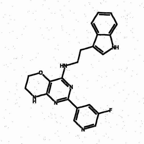 Fc1cncc(-c2nc3c(c(NCCc4c[nH]c5ccccc45)n2)OCCN3)c1